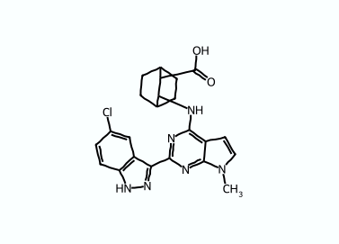 Cn1ccc2c(NC3C4CCC(CC4)C3C(=O)O)nc(-c3n[nH]c4ccc(Cl)cc34)nc21